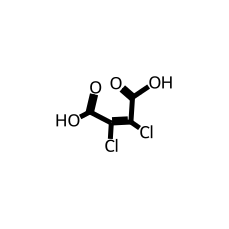 O=C(O)/C(Cl)=C(/Cl)C(=O)O